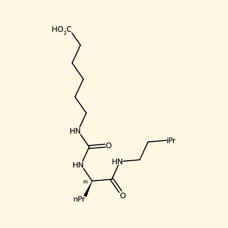 CCC[C@@H](NC(=O)NCCCCCC(=O)O)C(=O)NCCC(C)C